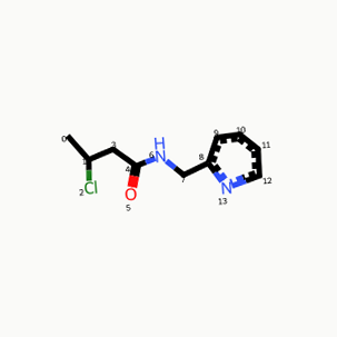 CC(Cl)CC(=O)NCc1ccccn1